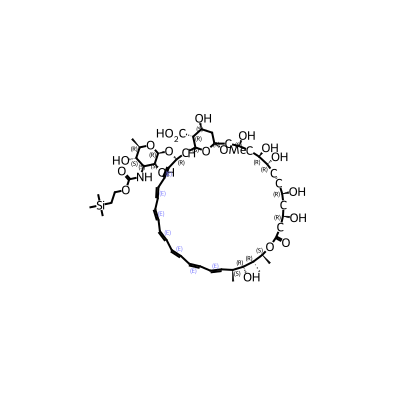 CO[C@]12C[C@@H](O)C[C@@H](O)[C@H](O)CC[C@@H](O)C[C@@H](O)CC(=O)O[C@@H](C)[C@H](C)[C@H](O)[C@@H](C)/C=C/C=C/C=C/C=C/C=C/C=C/C=C/[C@H](O[C@@H]3O[C@H](C)[C@@H](O)[C@H](NC(=O)OCC[Si](C)(C)C)[C@@H]3O)C[C@H](O1)[C@H](C(=O)O)[C@@H](O)C2